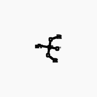 CCC[N+]([O-])(OCC)OCC